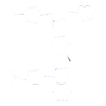 CN(C)c1ccc(NC(=O)N(Cc2ccccc2)C[C@H]2CCC[C@H](CN(Cc3ccccc3)C(=O)Nc3ccc(N(C)C)cc3)C2)cc1